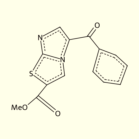 COC(=O)c1cn2c(C(=O)c3ccccc3)cnc2s1